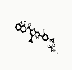 C[C@@H]1c2ccccc2CCN1C(=O)c1cc(C2CC2)n2nc(-c3ccc([C@H]4C[C@@H]4OC(N)=O)cc3F)cc2n1